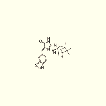 C[C@@H]1[C@H]2C[C@@](C)(C[C@H]1NC1=N/C(=C\c3ccc4ncsc4c3)C(=O)N1)C2(C)C